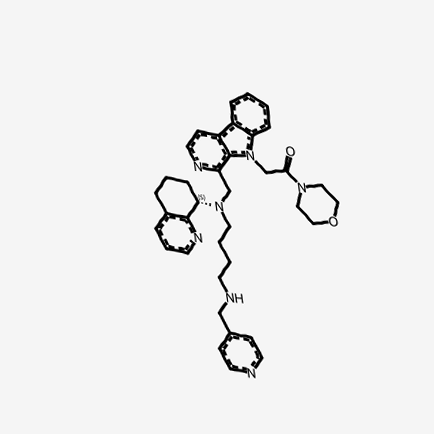 O=C(Cn1c2ccccc2c2ccnc(CN(CCCCNCc3ccncc3)[C@H]3CCCc4cccnc43)c21)N1CCOCC1